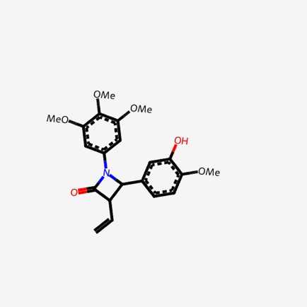 C=CC1C(=O)N(c2cc(OC)c(OC)c(OC)c2)C1c1ccc(OC)c(O)c1